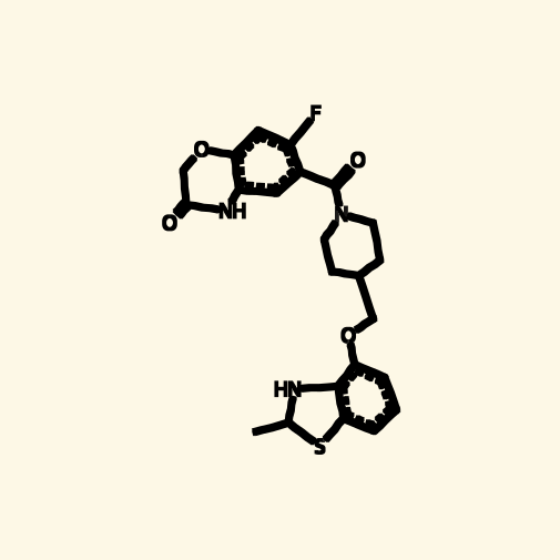 CC1Nc2c(OCC3CCN(C(=O)c4cc5c(cc4F)OCC(=O)N5)CC3)cccc2S1